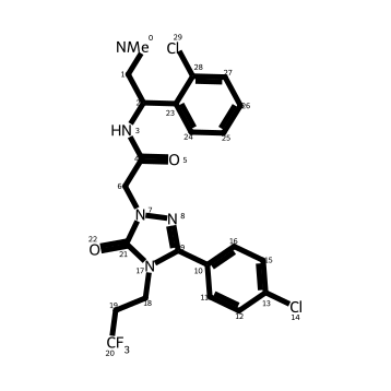 CNCC(NC(=O)Cn1nc(-c2ccc(Cl)cc2)n(CCC(F)(F)F)c1=O)c1ccccc1Cl